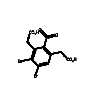 O=C(O)Cc1cc(Br)c(Br)c(CC(=O)O)c1I(=O)=O